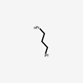 CCCCCCC(C)C